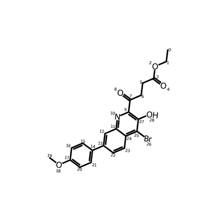 CCOC(=O)CCC(=O)c1nc2cc(-c3ccc(OC)cc3)ccc2c(Br)c1O